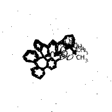 CC1(C)OB(c2ccc3c(c2)C2(c4ccccc4-c4ccccc4-3)c3ccccc3-c3cc4c(cc32)oc2ccccc24)OC1(C)C